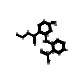 CCOC(=O)c1ccccc1Nc1ccncc1[N+](=O)[O-].Cl